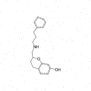 Oc1ccc2c(c1)OC(CNCCCc1ccccc1)CC2